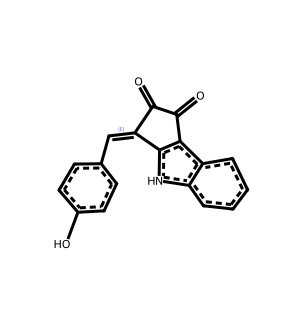 O=C1C(=O)c2c([nH]c3ccccc23)/C1=C\c1ccc(O)cc1